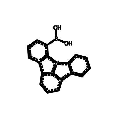 OB(O)c1cccc2c3cccc4c5ccccc5n(c12)c43